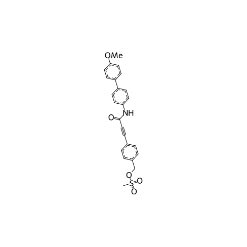 COc1ccc(-c2ccc(NC(=O)C#Cc3ccc(COS(C)(=O)=O)cc3)cc2)cc1